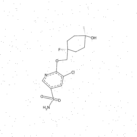 C[C@]1(O)CC[C@@](F)(COc2ncc(S(N)(=O)=O)cc2Cl)CC1